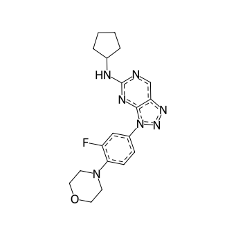 Fc1cc(-n2nnc3cnc(NC4CCCC4)nc32)ccc1N1CCOCC1